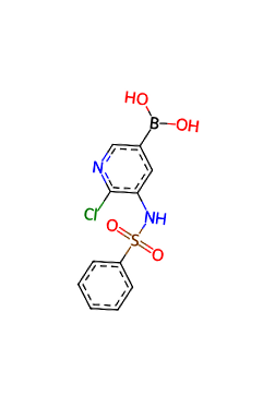 O=S(=O)(Nc1cc(B(O)O)cnc1Cl)c1ccccc1